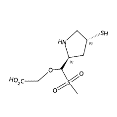 CS(=O)(=O)C(OCC(=O)O)[C@@H]1C[C@@H](S)CN1